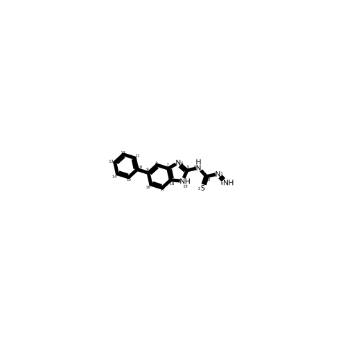 N=NC(=S)Nc1nc2cc(-c3ccccc3)ccc2[nH]1